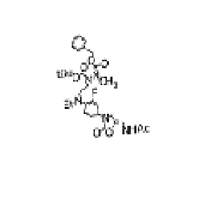 CCN(CCN(C(=O)OC(C)(C)C)N(C)C(=O)OCc1ccccc1)c1ccc(N2C[C@H](CNC(C)=O)OC2=O)cc1F